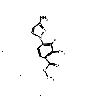 COC(=O)c1ccc(-n2ccc(N)n2)c(F)c1C